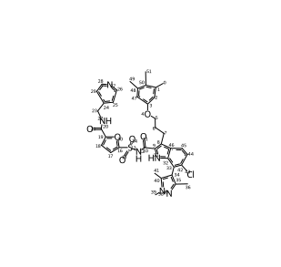 Cc1cc(OCCCc2c(C(=O)NS(=O)(=O)c3ccc(C(=O)NCc4ccncc4)o3)[nH]c3c(-c4c(C)nn(C)c4C)c(Cl)ccc23)cc(C)c1C